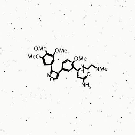 CNCCNC(CC(N)=O)c1cc(-c2conc2-c2cc(OC)c(OC)c(OC)c2)ccc1OC